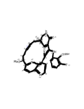 COc1c(F)cccc1Nc1c2[nH]c3c1C(=O)NC[C@@H]3C/C=C\C[C@H](OC)c1ccc3nccc-2c3n1